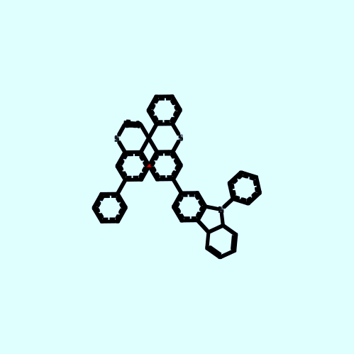 C1=CC2c3ccc(-c4ccc5c(c4)Sc4ccccc4C54c5ccccc5Sc5cc(-c6ccccc6)ccc54)cc3N(c3ccccc3)C2C=C1